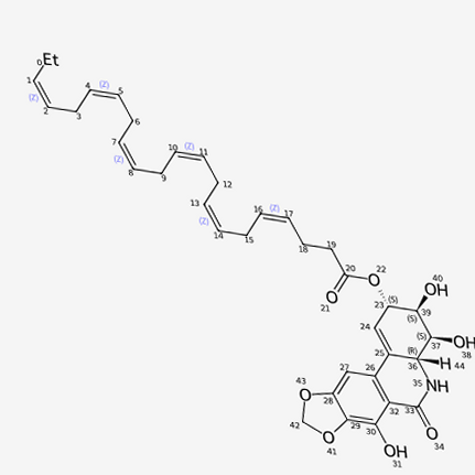 CC/C=C\C/C=C\C/C=C\C/C=C\C/C=C\C/C=C\CCC(=O)O[C@H]1C=C2c3cc4c(c(O)c3C(=O)N[C@H]2[C@H](O)[C@@H]1O)OCO4